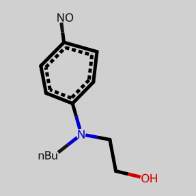 CCCCN(CCO)c1ccc(N=O)cc1